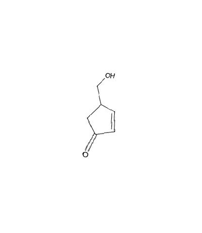 O=C1C=CC(CO)C1